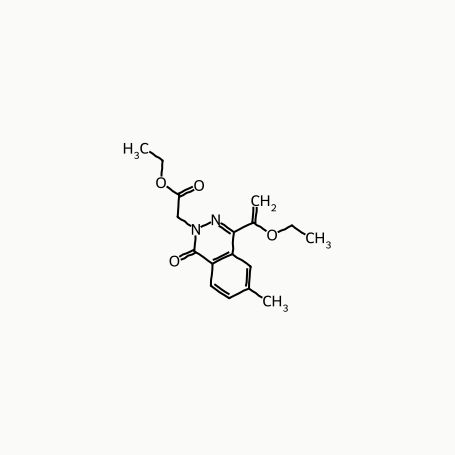 C=C(OCC)c1nn(CC(=O)OCC)c(=O)c2ccc(C)cc12